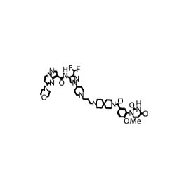 COc1ccc(C(=O)N2CCC3(CCN(CCCN4CCC(n5cc(NC(=O)c6cnn7ccc(N8CCOCC8)nc67)c(C(F)F)n5)CC4)CC3)CC2)cc1N1CCC(=O)NC1=O